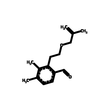 C=C(C)COCCc1c(C=O)ccc(C)c1C